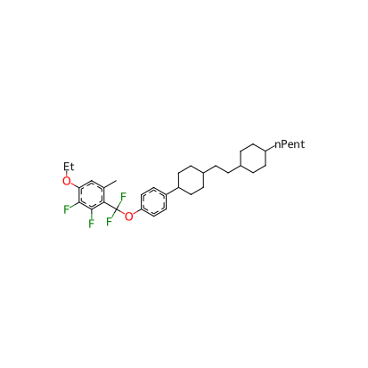 CCCCCC1CCC(CCC2CCC(c3ccc(OC(F)(F)c4c(C)cc(OCC)c(F)c4F)cc3)CC2)CC1